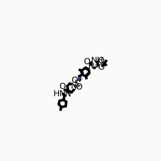 Cc1cc(N(C[C@H]2COC(C)(C)O2)C(N)=O)cc(C)c1/C=C/S(=O)(=O)N1CCC2(CC1)N=C(C1CCC(C)CC1)NC2=O